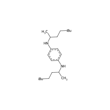 CCC(C)CCC(C)Nc1ccc(NC(C)CCC(C)CC)cc1